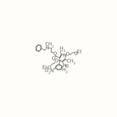 CCOCCON1C(C)=C([PH2]=O)C(OCCOCC)(c2cccc([N+](=O)[O-])c2)C(C(=O)OCCN(C)Cc2ccccc2)=C1C